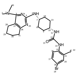 CN(C)c1nc(N[C@H]2CC[C@@H](NC(=O)Nc3ccc(Br)cc3F)CC2)nc2c1CCCC2